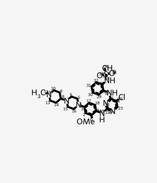 COc1cc(N2CCN(C3CCN(C)CC3)CC2)ccc1Nc1ncc(Cl)c(Nc2ccccc2NS(C)(=O)=O)n1